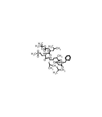 CC(C)C[C@H](NC(=O)OC(C)(C)C)C(=O)N[C@H](CCS(C)(=O)=O)C(=O)N[C@@H](CC(C)C)[C@@H](O)C[C@@H](C)C(=O)N[C@@H](CC(C)C)C(=O)NCc1ccccc1